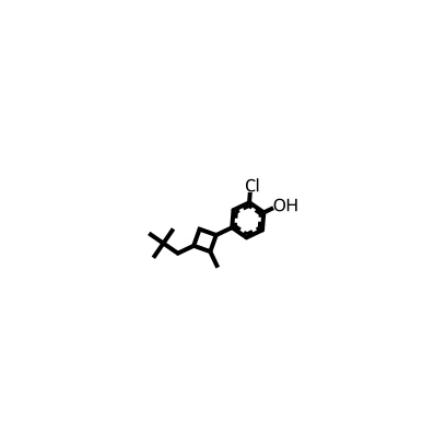 CC1C(CC(C)(C)C)CC1c1ccc(O)c(Cl)c1